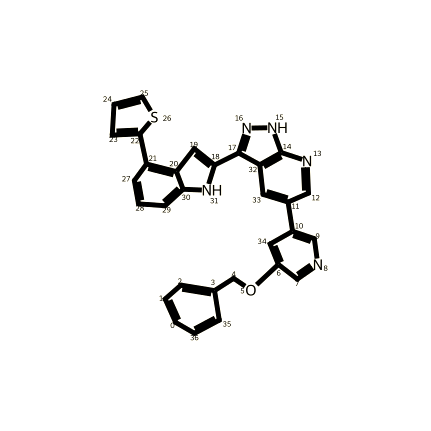 c1ccc(COc2cncc(-c3cnc4[nH]nc(-c5cc6c(-c7cccs7)cccc6[nH]5)c4c3)c2)cc1